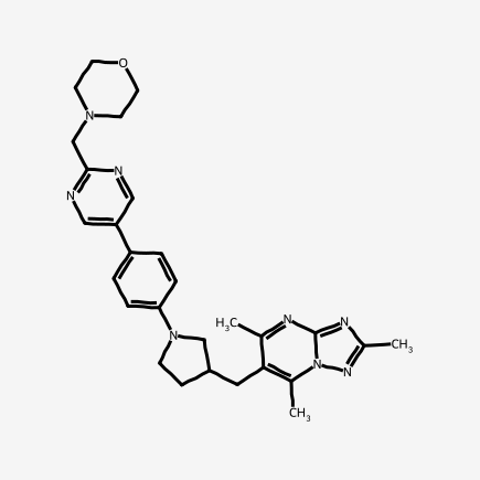 Cc1nc2nc(C)c(CC3CCN(c4ccc(-c5cnc(CN6CCOCC6)nc5)cc4)C3)c(C)n2n1